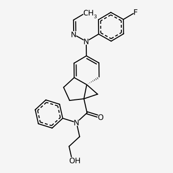 C/C=N\N(C1=CC[C@]23CC2(C(=O)N(CCO)c2ccccc2)CCC3=C1)c1ccc(F)cc1